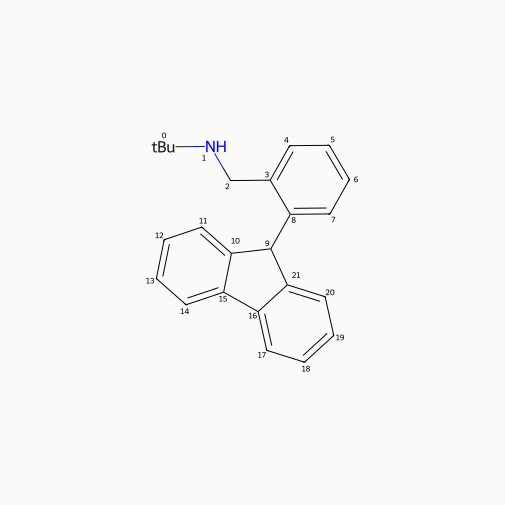 CC(C)(C)NCc1ccccc1C1c2ccccc2-c2ccccc21